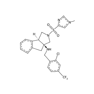 Cn1cnc(S(=O)(=O)N2C[C@@H]3c4ccccc4C[C@@]3(NCc3ccc(C(F)(F)F)cc3Cl)C2)c1